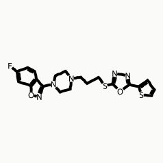 Fc1ccc2c(N3CCN(CCCSc4nnc(-c5cccs5)o4)CC3)noc2c1